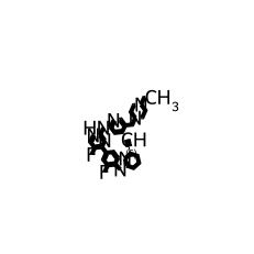 C#C[C@@H]1CCCc2nc3c(F)cc(-c4nc(Nc5ccc(CN6CCN(CC)CC6)cn5)ncc4F)cc3n21